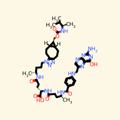 CC(C)[C@@H](C)NC(=O)OC[C@@H]1[C@@H]2CCc3nnn(CCC[C@@H](C)NC(=O)CC[C@H](NC(=O)CC[C@@H](C)NC(=O)c4ccc(NCc5cnc6nc(N)nc(O)c6n5)cc4)C(=O)O)c3CC[C@@H]21